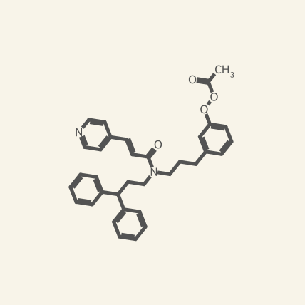 CC(=O)OOc1cccc(CCCN(CCC(c2ccccc2)c2ccccc2)C(=O)C=Cc2ccncc2)c1